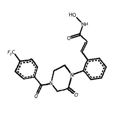 O=C(C=Cc1ccccc1N1CCN(C(=O)c2ccc(C(F)(F)F)cc2)CC1=O)NO